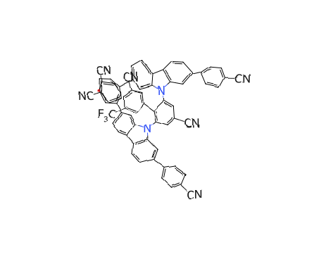 N#Cc1ccc(-c2ccc3c4ccc(-c5ccc(C#N)cc5)cc4n(-c4cc(C#N)cc(-n5c6cc(-c7ccc(C#N)cc7)ccc6c6ccc(-c7ccc(C#N)cc7)cc65)c4-c4cc(C#N)cc(C(F)(F)F)c4)c3c2)cc1